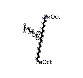 CCCCCC[CH]C/C=C\CCCCCCCC(CCCCCCC/C=C\C[CH]CCCCCC)OC(=O)OCCCN(C)C